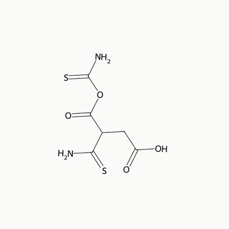 NC(=S)OC(=O)C(CC(=O)O)C(N)=S